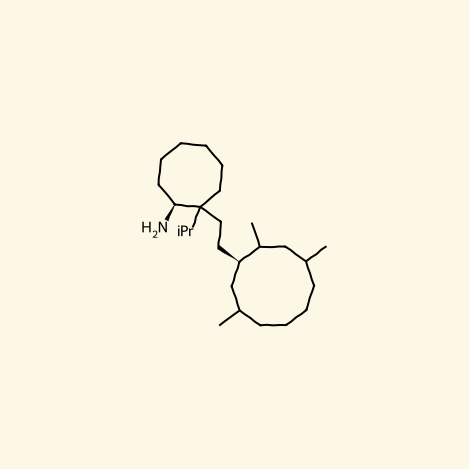 CC1CCCCC(C)C[C@@H](CCC2(C(C)C)CCCCCC[C@@H]2N)C(C)C1